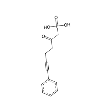 O=C(CCC#Cc1ccccc1)CP(=O)(O)O